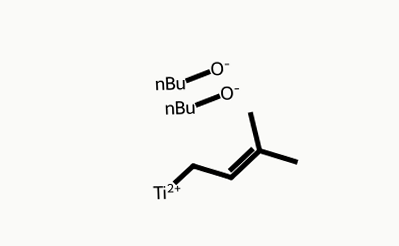 CC(C)=C[CH2][Ti+2].CCCC[O-].CCCC[O-]